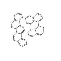 c1cc2cccc3c4cccc5cccc(c(c1)c23)c54.c1ccc2c(c1)ccc1c2ccc2c3ccccc3ccc21